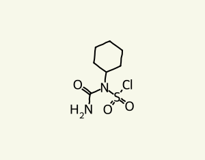 NC(=O)N(C1CCCCC1)S(=O)(=O)Cl